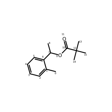 Cc1ccccc1C(C)OC(=O)C(C)(C)C